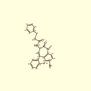 CN1C(=O)C(NC(=O)OCc2ccccc2)N=C(c2ccccc2F)c2cc(Br)ccc21